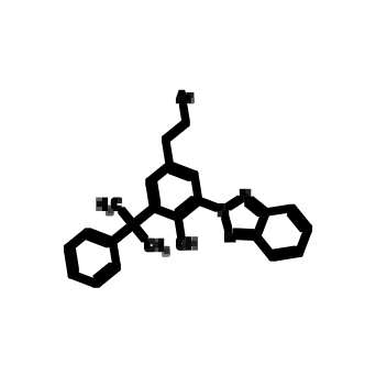 CC(=O)CCc1cc(-n2nc3ccccc3n2)c(O)c(C(C)(C)c2ccccc2)c1